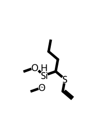 C=CSC(CCC)[SiH](OC)OC